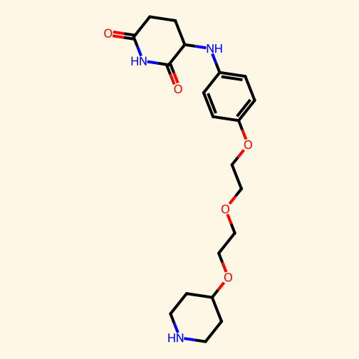 O=C1CCC(Nc2ccc(OCCOCCOC3CCNCC3)cc2)C(=O)N1